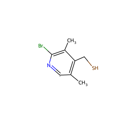 Cc1[c]nc(Br)c(C)c1CS